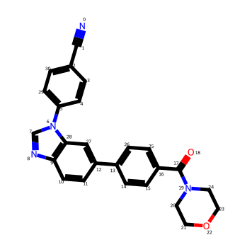 N#Cc1ccc(-n2cnc3ccc(-c4ccc(C(=O)N5CCOCC5)cc4)cc32)cc1